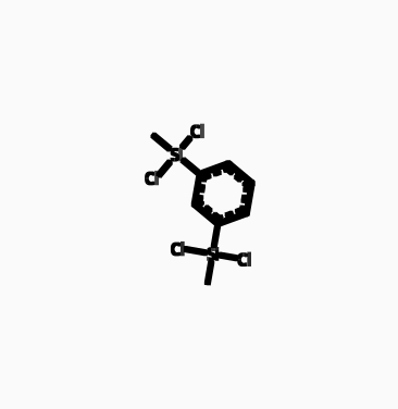 C[Si](Cl)(Cl)c1cccc([Si](C)(Cl)Cl)c1